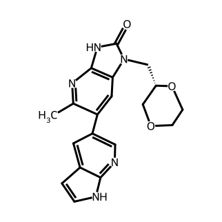 Cc1nc2[nH]c(=O)n(C[C@H]3COCCO3)c2cc1-c1cnc2[nH]ccc2c1